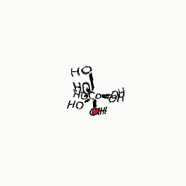 [OH][Co]([OH])([OH])([OH])([OH])([OH])([OH])[OH]